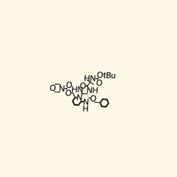 CC(C)(C)OC(=O)NC(C)(C)C(=O)N[C@H](COCc1ccccc1)C(=N)n1c(COC(=O)N2CCOCC2)cccc1=N